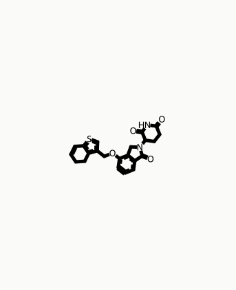 O=C1CCC(N2Cc3c(OCc4csc5c4CCC=C5)c#ccc3C2=O)C(=O)N1